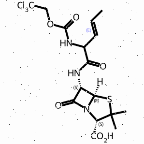 C/C=C/C(NC(=O)OCC(Cl)(Cl)Cl)C(=O)N[C@H]1C(=O)N2[C@@H]1SC(C)(C)[C@@H]2C(=O)O